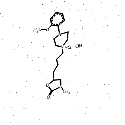 COc1ccccc1N1CCN(CCCCC2CN(C)C(=O)O2)CC1.Cl.Cl